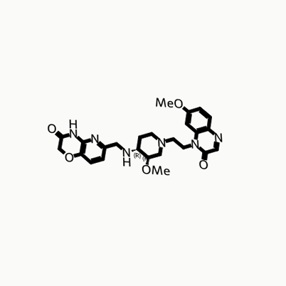 COc1ccc2ncc(=O)n(CCN3CC[C@@H](NCc4ccc5c(n4)NC(=O)CO5)[C@H](OC)C3)c2c1